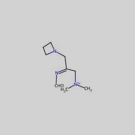 C[N+2](C)CC(CN1CCC1)=NC=O